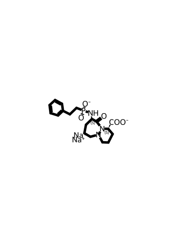 O=C([O-])[C@@H]1CCCN2CCC[C@H](NP(=O)([O-])CCc3ccccc3)C(=O)N12.[Na+].[Na+]